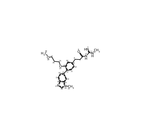 CNC(=N)NC(=O)CCc1ccc(-c2ccc3ncn(C)c3c2)c(OCCCOC)c1